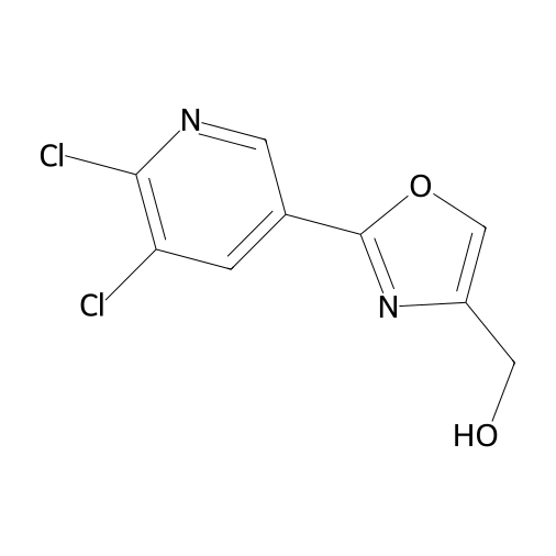 OCc1coc(-c2cnc(Cl)c(Cl)c2)n1